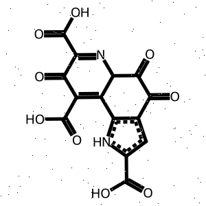 O=C(O)C1=NC2C(=O)C(=O)c3cc(C(=O)O)[nH]c3C2=C(C(=O)O)C1=O